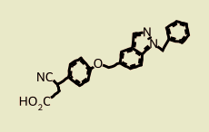 N#CC(CC(=O)O)c1ccc(OCc2ccc3c(cnn3Cc3ccccc3)c2)cc1